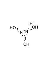 I.OCCN1CN(CCO)CN(CCO)C1